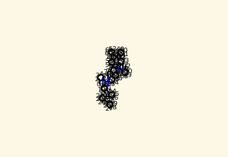 Cc1ccccc1N(c1cccc(-c2ccccc2-c2ccccc2-c2ccccc2)c1)c1ccc2ccc3c(N(c4cccc(C5(c6ccccc6)c6ccccc6-c6ccccc65)c4)c4ccccc4C)ccc4ccc1c2c43